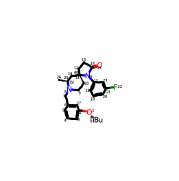 CC[C@@H](C)Oc1cccc(CN2CC[C@]3(CCC(=O)N3c3cccc(F)c3)C[C@@H]2C)c1